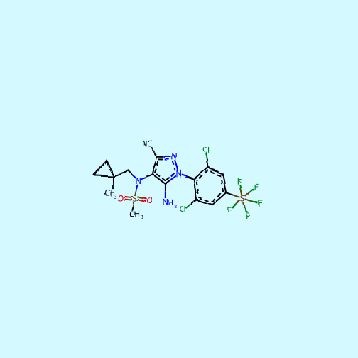 CS(=O)(=O)N(CC1(C(F)(F)F)CC1)c1c(C#N)nn(-c2c(Cl)cc(S(F)(F)(F)(F)F)cc2Cl)c1N